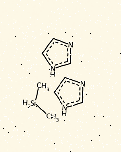 C[SiH2]C.c1c[nH]cn1.c1c[nH]cn1